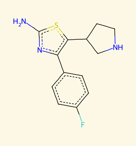 Nc1nc(-c2ccc(F)cc2)c(C2CCNC2)s1